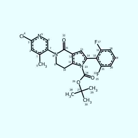 Cc1cc(Cl)ncc1N1CCc2c(cc(-c3c(F)cccc3F)n2C(=O)OC(C)(C)C)C1=O